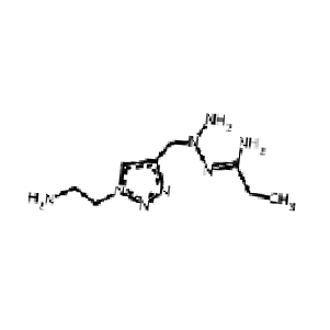 CC/C(N)=N/N(N)Cc1cn(CCN)nn1